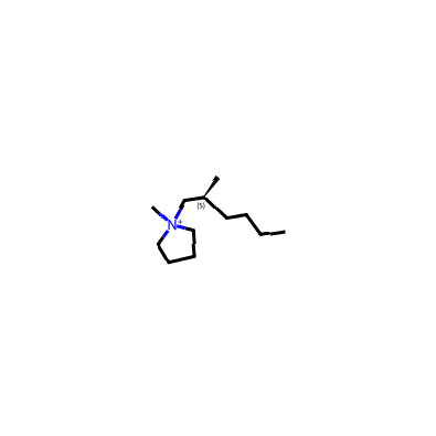 CCCC[C@H](C)C[N+]1(C)CCCC1